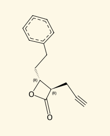 C#CC[C@H]1C(=O)O[C@@H]1CCc1ccccc1